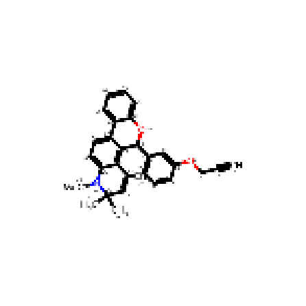 C#CCOc1cccc(C2Oc3ccccc3-c3ccc4c(c32)C(C)=CC(C)(C)N4OC)c1